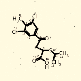 Cc1c(Cl)cc(C(=O)CC(SC(C)C)C(=O)O)cc1Cl